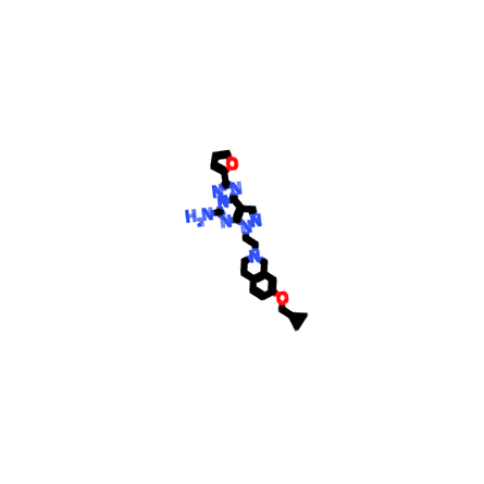 Nc1nc2c(cnn2CCN2CCc3ccc(OCC4CC4)cc3C2)c2nc(-c3ccco3)nn12